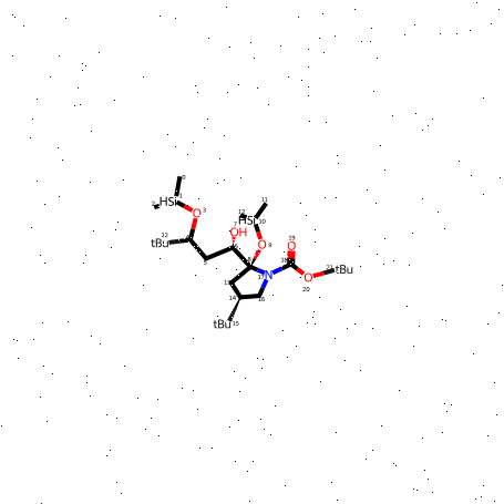 C[SiH](C)OC(C[C@H](O)[C@@]1(O[SiH](C)C)C[C@H](C(C)(C)C)CN1C(=O)OC(C)(C)C)C(C)(C)C